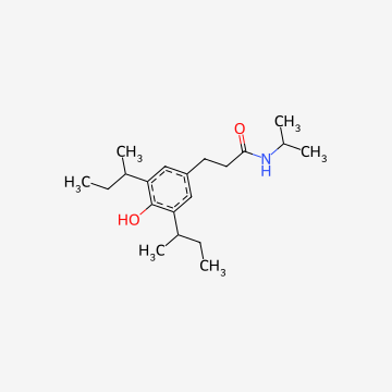 CCC(C)c1cc(CCC(=O)NC(C)C)cc(C(C)CC)c1O